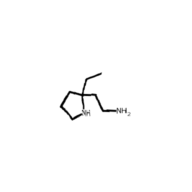 CCC1(CCN)CCCN1